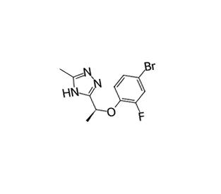 Cc1nnc([C@H](C)Oc2ccc(Br)cc2F)[nH]1